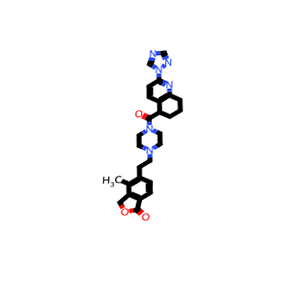 Cc1c(CCN2CCN(C(=O)C3CCCc4nc(-n5cncn5)ccc43)CC2)ccc2c1COC2=O